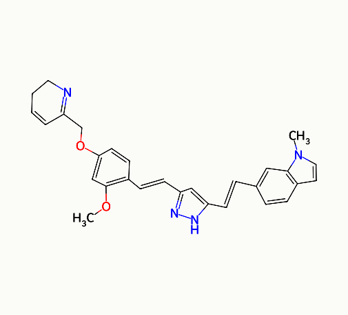 COc1cc(OCC2=NCCC=C2)ccc1/C=C/c1cc(/C=C/c2ccc3ccn(C)c3c2)[nH]n1